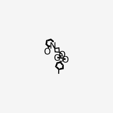 Cc1ccc(S(=O)(=O)OC2CC(n3ccccc3=O)C2)cc1